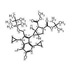 COC(=O)[C@@H]1[C@@H]2[C@H](CN1C(=O)OC(C)(C)C)[C@H]2c1c(CO[Si](C)(C)C(C)(C)C)n(C2CC2)c2c(F)c(Cl)nc(C3CC3)c12